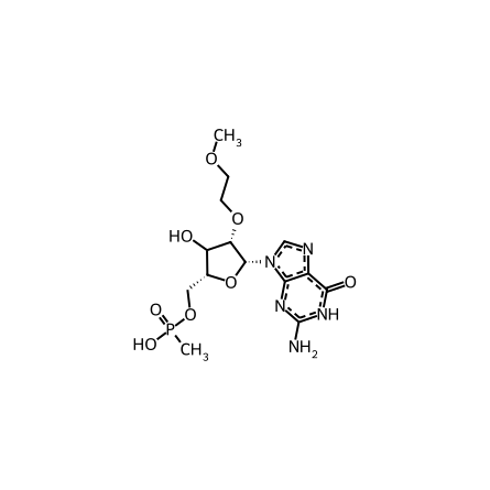 COCCO[C@H]1C(O)[C@@H](COP(C)(=O)O)O[C@H]1n1cnc2c(=O)[nH]c(N)nc21